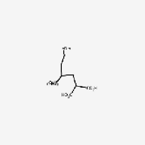 CCCCCCCCCCCCC(CCCCCC)CC(C(=O)O)C(=O)O.[CaH2]